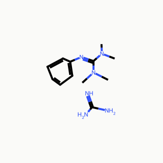 CN(C)C(=Nc1ccccc1)N(C)C.N=C(N)N